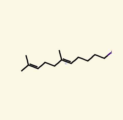 CC(C)=CCC/C(C)=C/CCCCI